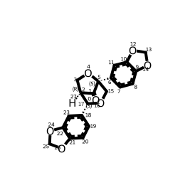 O=C1[C@@H]2CO[C@@]1(c1ccc3c(c1)OCO3)CO[C@@H]2c1ccc2c(c1)OCO2